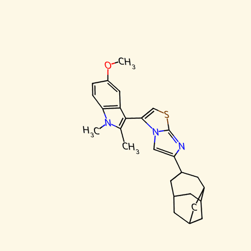 COc1ccc2c(c1)c(-c1csc3nc(C4CC5CC6CC(C5)C(C6)C4)cn13)c(C)n2C